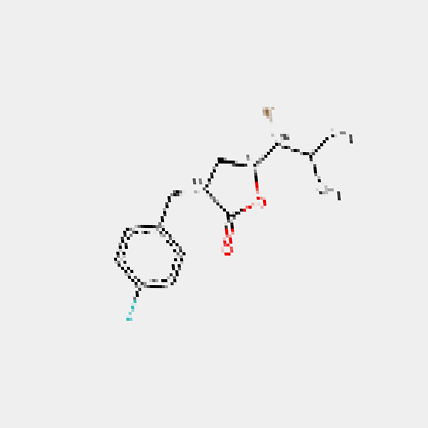 CC(C)[C@@H](Br)[C@@H]1C[C@@H](Cc2ccc(F)cc2)C(=O)O1